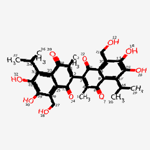 CC1=C(C2=C(C)C(=O)c3c(c(CO)c(O)c(O)c3C(C)C)C2=O)C(=O)c2c(CO)c(O)c(O)c(C(C)C)c2C1=O